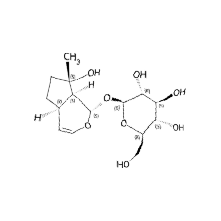 C[C@]1(O)CC[C@@H]2C=CO[C@@H](O[C@@H]3O[C@H](CO)[C@@H](O)[C@H](O)[C@H]3O)[C@@H]21